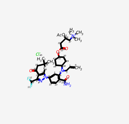 C=CCN(c1cc(-n2nc(C(F)F)c3c2CC(C)(C)CC3=O)ccc1C(N)=O)C1CCC(OC(=O)CC(C[N+](C)(C)C)OC(C)=O)CC1.[Cl-]